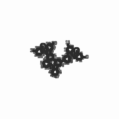 Cc1ccc2c(c1)Oc1cc(C)cc3c4cc(-c5cc(-c6ccc7c(c6)c6cc(C)cc8c6n7-c6ccc(C)cc6O8)c6c(c5)c5ccccc5n6-c5ccccc5)ccc4n-2c13